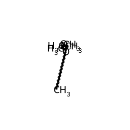 CCCCCCCCCCCCCCCCCCCCCCOC1CC(C)(C)N([O])C(C)(C)C1